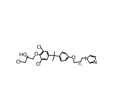 C[C@H](COc1ccc(C(C)(C)c2cc(Cl)c(OC[C@H](O)CCl)c(Cl)c2)cc1)Cn1ccnc1